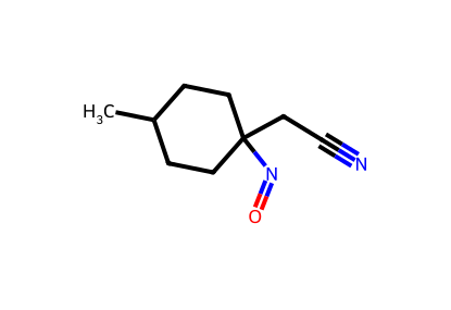 CC1CCC(CC#N)(N=O)CC1